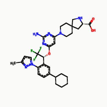 Cc1ccn(-c2ccc(C3CCCCC3)cc2[C@@H](Oc2cc(N3CCC4(CC3)CN[C@H](C(=O)O)C4)nc(N)n2)C(F)(F)F)n1